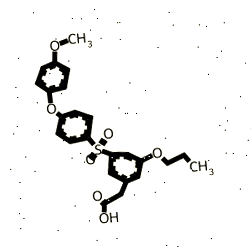 CCCOc1cc(CC(=O)O)cc(S(=O)(=O)c2ccc(Oc3ccc(OC)cc3)cc2)c1